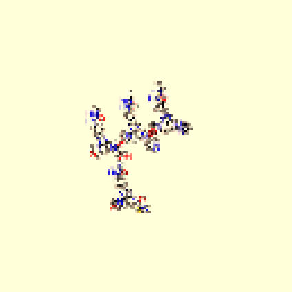 CCNC(=O)Nc1ccc(-c2nc3c(c(N4CCOC[C@H]4C)n2)CCN(C(=O)C(C)(C)O)C3)cc1.CCNC(=O)Nc1ccc(-c2nc3c(c(N4CCOC[C@H]4C)n2)CCN(C(=O)c2cccnc2)C3)cc1.CCNC(=O)Nc1ccc(-c2nc3c(c(N4CCOC[C@H]4C)n2)CCN(C(=O)c2nccs2)C3)cc1.CCNC(=O)Nc1ccc(-c2nc3c(c(N4CCOC[C@H]4C)n2)CCN(c2ncccn2)C3)cc1